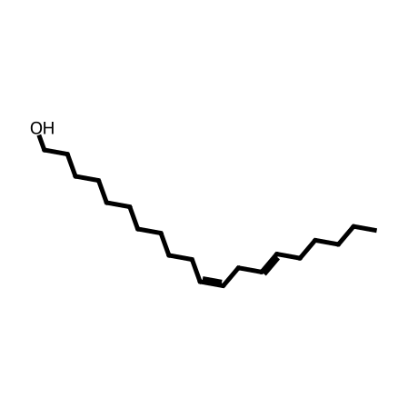 CCCCCC=CC/C=C\CCCCCCCCCCO